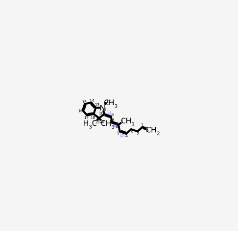 C=CCC\C=C/C(C)=C/C=C1/N(C)c2ccccc2C1(C)C